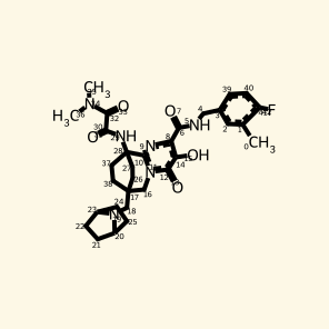 Cc1cc(CNC(=O)c2nc3n(c(=O)c2O)CC2(CN4C5CCC4CC5)CCC3(NC(=O)C(=O)N(C)C)CC2)ccc1F